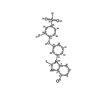 Cc1nc2c(Cl)cccc2n1-c1cccc(Oc2ccc(S(C)(=O)=O)cc2F)c1